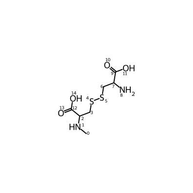 CNC(CSSCC(N)C(=O)O)C(=O)O